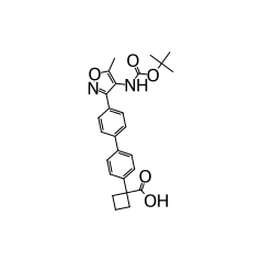 Cc1onc(-c2ccc(-c3ccc(C4(C(=O)O)CCC4)cc3)cc2)c1NC(=O)OC(C)(C)C